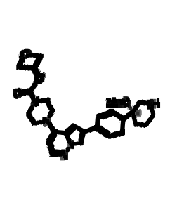 CO[C@@]1(C2C=CC(c3cc4c(N5CCN(C(=O)OC6COC6)CC5)ccnn4c3)=CC2)CCCNC1